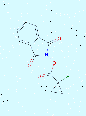 O=C1c2ccccc2C(=O)N1OC(=O)C1(F)CC1